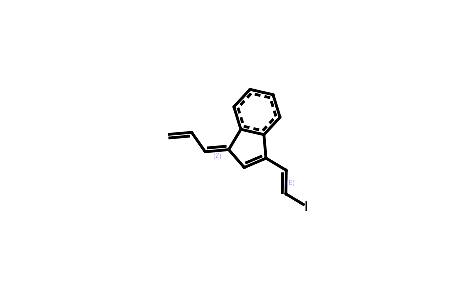 C=C/C=C1C=C(/C=C/I)c2ccccc2/1